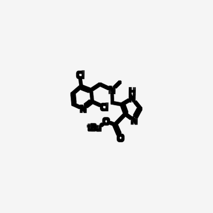 CN(Cc1[nH]cnc1C(=O)OC(C)(C)C)Cc1c(Cl)ccnc1Cl